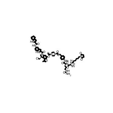 Cc1csc2c(OC(=O)N3CCN(C(=O)OCc4ccc(NC(=O)[C@H](CCCNC(N)=O)NC(=O)[C@@H](NC(=O)CCCCCN5C(=O)C=CC5=O)C(C)C)cc4)CC3)cc3c(c12)[C@@H](CCl)CN3C(=O)c1cc2cc(NC(=O)c3cc4ccccc4[nH]3)ccc2[nH]1